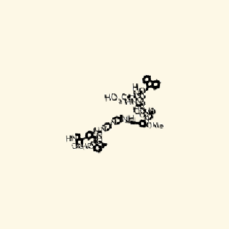 COc1ccc(C#CCNC2(C)CCN(C3CCN(c4nc([C@@](CO)(OC5CC5)c5ccccc5)c5cc(-c6cn(C)c(=O)c7[nH]ccc67)ccc5n4)CC3)CC2)cc1N1CCC(=O)N(CNC(=O)[C@H](CC(=O)O)NC(=O)[C@@H](CCC(=O)O)NC(=O)OCC2c3ccccc3-c3ccccc32)C1=O